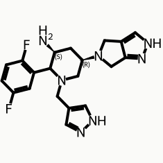 N[C@H]1C[C@@H](N2Cc3c[nH]nc3C2)CN(Cc2cn[nH]c2)C1c1cc(F)ccc1F